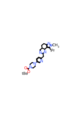 CC(C)c1c2c(nn1C)CCC1C=NC(Cc3ccc(N4CCN(C(=O)OC(C)(C)C)CC4)cn3)=NC21